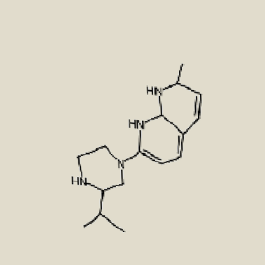 CC1C=CC2=CC=C(N3CCNC(C(C)C)C3)NC2N1